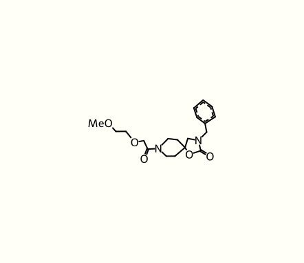 COCCOCC(=O)N1CCC2(CC1)CN(Cc1ccccc1)C(=O)O2